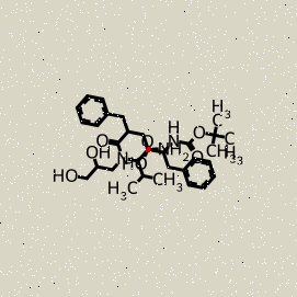 CC(C)C(C(N)=O)N(CC(O)CO)C(=O)C(Cc1ccccc1)CC(O)C(Cc1ccccc1)NC(=O)OC(C)(C)C